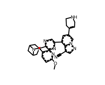 COc1ccc(CN2C3CC2CN(c2cnc(-c4cc(C5=CCNCC5)cn5ncc(C#N)c45)cn2)C3)cn1